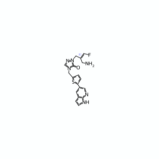 NC/C(=C\F)Cn1ncn(Cc2ccc(-c3cnc4[nH]ccc4c3)s2)c1=O